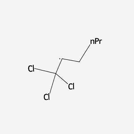 CCCC[CH]C(Cl)(Cl)Cl